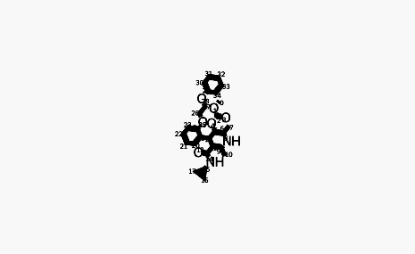 COC(=O)OC1=C(C)NC(C)=C(C(=O)NC2CC2)C1c1ccccc1OCCOc1ccccc1